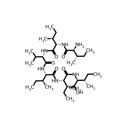 CC[C@H](C)[C@H](N)C(=O)N[C@H](C(=O)N[C@H](C(=O)N[C@H](C(=O)N[C@H](C(=O)N[C@H](C(=O)O)[C@@H](C)CC)[C@@H](C)CC)[C@@H](C)CC)C(C)C)[C@@H](C)CC